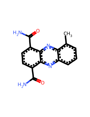 Cc1cccc2nc3c(C(N)=O)ccc(C(N)=O)c3nc12